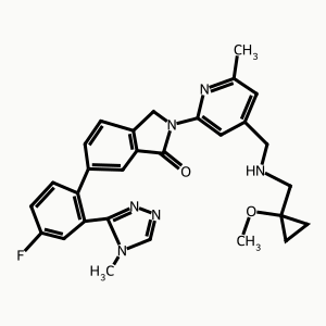 COC1(CNCc2cc(C)nc(N3Cc4ccc(-c5ccc(F)cc5-c5nncn5C)cc4C3=O)c2)CC1